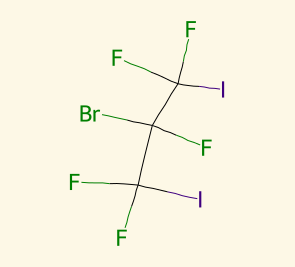 FC(F)(I)C(F)(Br)C(F)(F)I